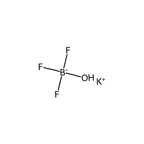 O[B-](F)(F)F.[K+]